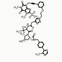 Cc1ncsc1-c1ccc(CNC(=O)[C@@H]2C[C@@H](O)CN2C(=O)C(NC(=O)Cc2cn(CCOc3cccc(C#CCn4c(=O)n(C)c(=O)c5c4nc(S(C)(=O)=O)n5C)c3)nn2)C(C)(C)C)cc1